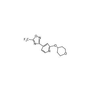 FC(F)(F)c1nc(-c2ccnc(OC3CCOCC3)c2)no1